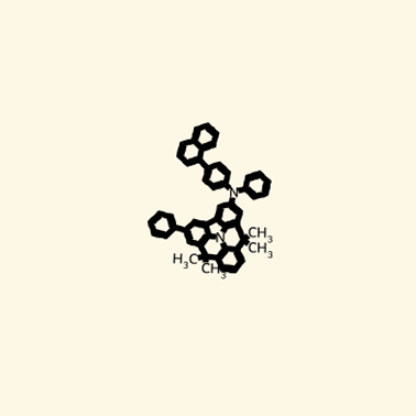 CC1(C)c2cccc3c2-n2c4c1cc(-c1ccccc1)cc4c1cc(N(c4ccccc4)c4ccc(-c5cccc6ccccc56)cc4)cc(c12)C3(C)C